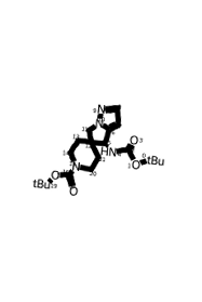 CC(C)(C)OC(=O)N[C@@H]1c2ccnn2CC12CCN(C(=O)OC(C)(C)C)CC2